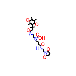 CC1=C(C)C(=O)C(C(C)(C)CC(=O)N(C)CCN(CCCC(=O)NCCN2C(=O)C=CC2=O)C(=O)O)=C(C)C1=O